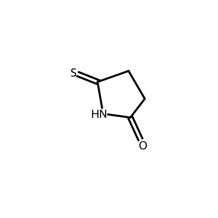 O=C1CCC(=S)N1